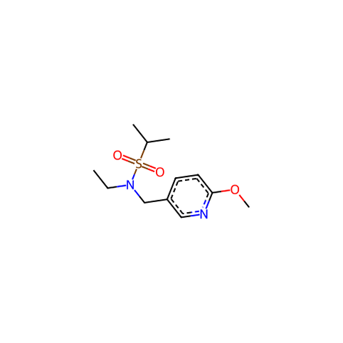 CCN(Cc1ccc(OC)nc1)S(=O)(=O)C(C)C